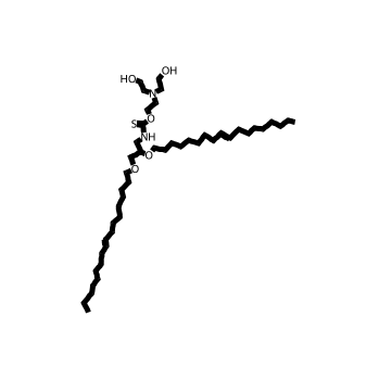 CCCCCCCCC=CCCCCCCCCOCC(CNC(=S)OCCN(CCO)CCO)OCCCCCCCCC=CCCCCCCCC